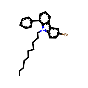 CCCCCCCCCCn1c2ccc(Br)cc2c2cccc(-c3[c]cccc3)c21